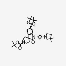 CC1(C)CCN([C@H]2C[C@@H](N3C(=O)C4(CCN(C(=O)OC(C)(C)C)CC4)c4ccc(B5OC(C)(C)C(C)(C)O5)cc43)C2)C1